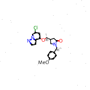 COc1ccc([C@@H](C)N2CC([C@@H](C)Oc3cc(Cl)cn4nccc34)CC2=O)cc1